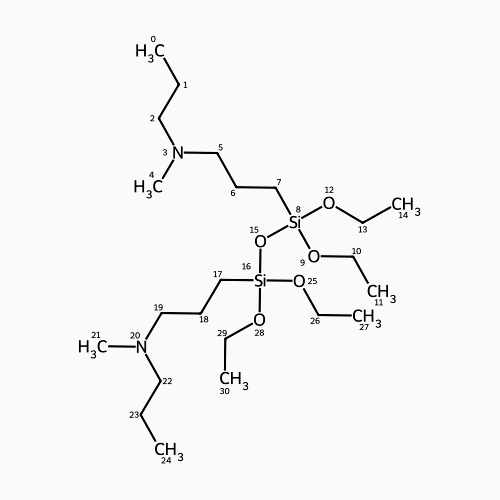 CCCN(C)CCC[Si](OCC)(OCC)O[Si](CCCN(C)CCC)(OCC)OCC